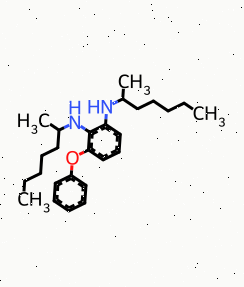 CCCCCC(C)Nc1cccc(Oc2ccccc2)c1NC(C)CCCCC